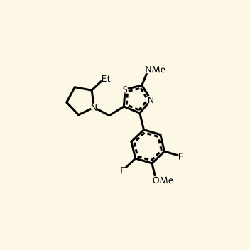 CCC1CCCN1Cc1sc(NC)nc1-c1cc(F)c(OC)c(F)c1